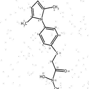 Cc1ccc(C)n1-c1ccc(SCC(=O)N(C)O)cc1